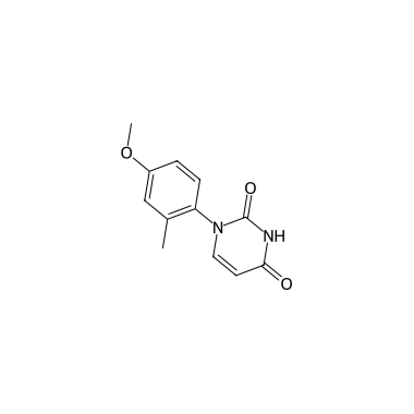 COc1ccc(-n2ccc(=O)[nH]c2=O)c(C)c1